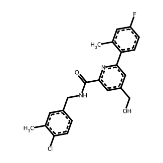 Cc1cc(CNC(=O)c2cc(CO)cc(-c3ccc(F)cc3C)n2)ccc1Cl